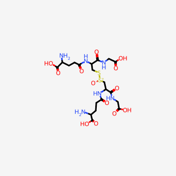 NC(CCC(=O)NC(CS[S+]([O-])CC(NC(=O)CCC(N)C(=O)O)C(=O)NCC(=O)O)C(=O)NCC(=O)O)C(=O)O